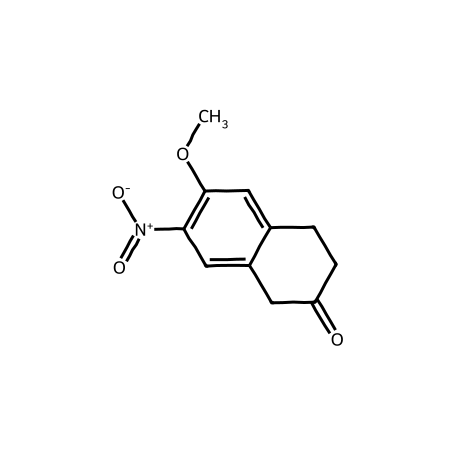 COc1cc2c(cc1[N+](=O)[O-])CC(=O)CC2